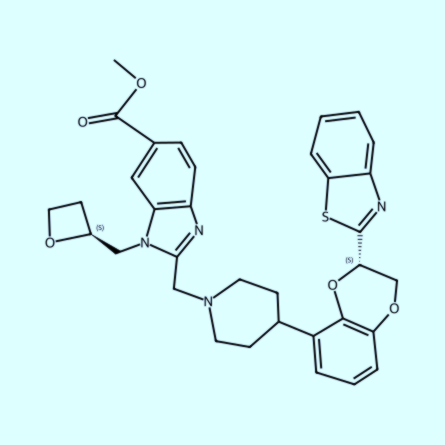 COC(=O)c1ccc2nc(CN3CCC(c4cccc5c4O[C@H](c4nc6ccccc6s4)CO5)CC3)n(C[C@@H]3CCO3)c2c1